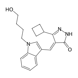 O=C1NN=C(C2CCC2)C1=Cc1cn(CCCCO)c2ccccc12